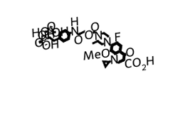 COc1c(N2CCN(C(=O)OCC(=O)Nc3ccc(CC(P(=O)(O)O)P(=O)(O)O)cc3)C(C)C2)c(F)cc2c(=O)c(C(=O)O)cn(C3CC3)c12